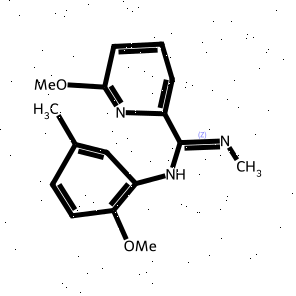 C/N=C(\Nc1cc(C)ccc1OC)c1cccc(OC)n1